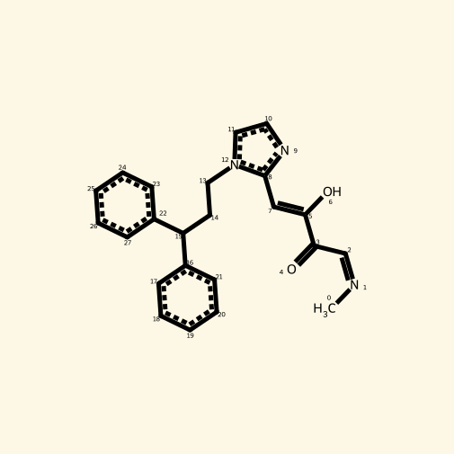 C/N=C\C(=O)/C(O)=C/c1nccn1CCC(c1ccccc1)c1ccccc1